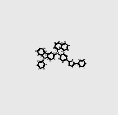 c1ccc(-c2ccc(-c3ccc(N(c4ccc5c(c4)c4ccccc4n5-c4ccccc4)c4cccc5ccccc45)cc3)s2)cc1